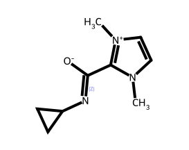 Cn1cc[n+](C)c1/C([O-])=N/C1CC1